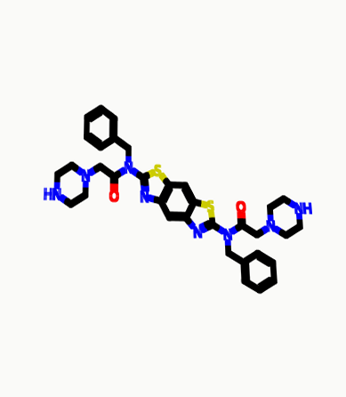 O=C(CN1CCNCC1)N(Cc1ccccc1)c1nc2cc3nc(N(Cc4ccccc4)C(=O)CN4CCNCC4)sc3cc2s1